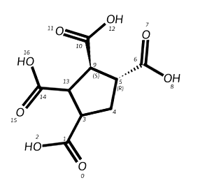 O=C(O)C1C[C@@H](C(=O)O)[C@H](C(=O)O)C1C(=O)O